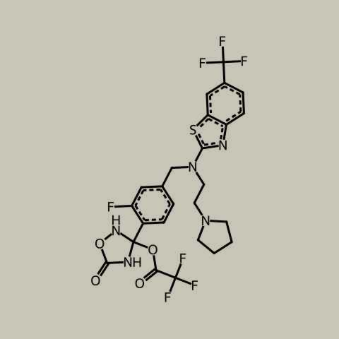 O=C1NC(OC(=O)C(F)(F)F)(c2ccc(CN(CCN3CCCC3)c3nc4ccc(C(F)(F)F)cc4s3)cc2F)NO1